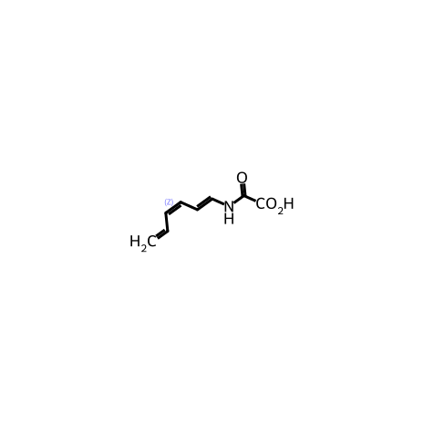 C=C/C=C\C=CNC(=O)C(=O)O